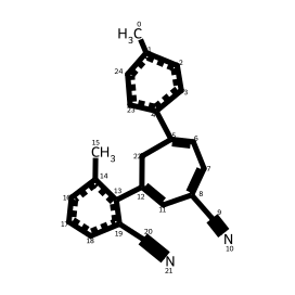 Cc1ccc(C2=CC=C(C#N)C=C(c3c(C)cccc3C#N)C2)cc1